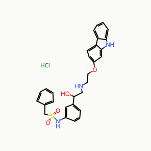 Cl.O=S(=O)(Cc1ccccc1)Nc1cccc(C(O)CNCCOc2ccc3c(c2)[nH]c2ccccc23)c1